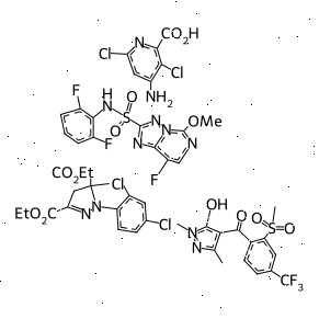 CCOC(=O)C1=NN(c2ccc(Cl)cc2Cl)C(C)(C(=O)OCC)C1.COc1ncc(F)c2nc(S(=O)(=O)Nc3c(F)cccc3F)nn12.Cc1nn(C)c(O)c1C(=O)c1ccc(C(F)(F)F)cc1S(C)(=O)=O.Nc1cc(Cl)nc(C(=O)O)c1Cl